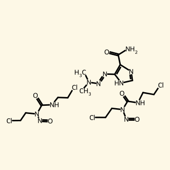 CN(C)/N=N/c1[nH]cnc1C(N)=O.O=NN(CCCl)C(=O)NCCCl.O=NN(CCCl)C(=O)NCCCl